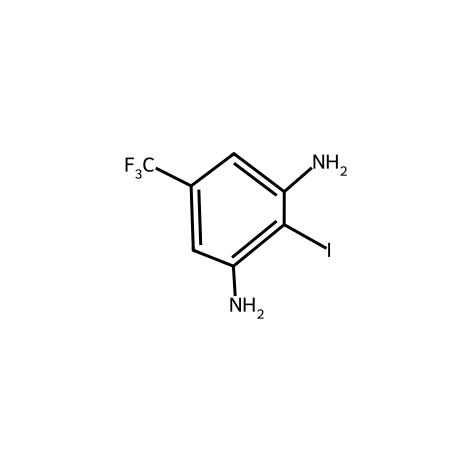 Nc1cc(C(F)(F)F)cc(N)c1I